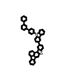 c1ccc(-c2cccc(-c3ccc(-n4c5ccccc5c5cc(-c6ccc7sc8cc9c%10c(cccc%10c8c7c6)-c6ccccc6-9)ccc54)cc3)c2)cc1